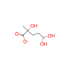 CC(O)(CCC(O)O)C([O])=O